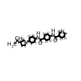 CN(C)C1CCN(c2ccc(NC(=O)c3ccc(NC(=O)c4cccnc4)cc3)cc2)C1